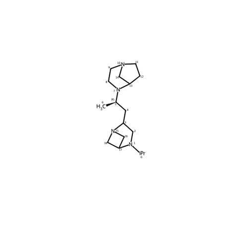 CC(C)N1CC(C[C@@H](C)N2CCN3CCC2C3)N2CC1C2